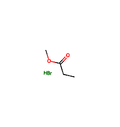 Br.CCC(=O)OC